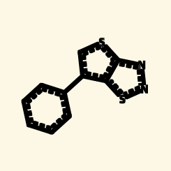 c1ccc(-c2csc3nnsc23)cc1